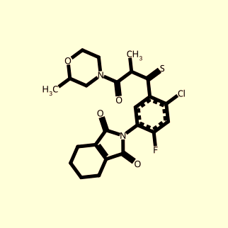 CC1CN(C(=O)C(C)C(=S)c2cc(N3C(=O)C4=C(CCCC4)C3=O)c(F)cc2Cl)CCO1